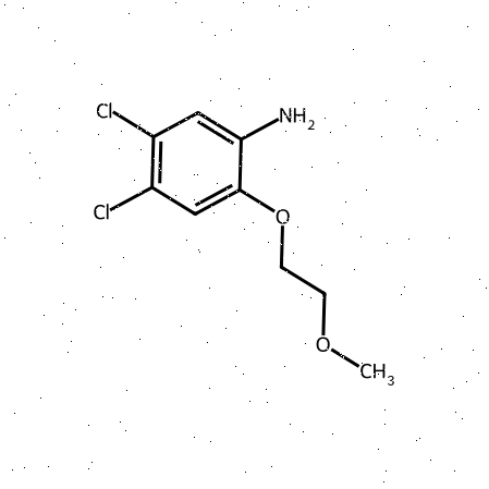 COCCOc1cc(Cl)c(Cl)cc1N